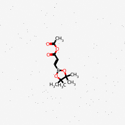 CC(=O)OC(=O)C=CB1OC(C)(C)C(C)(C)O1